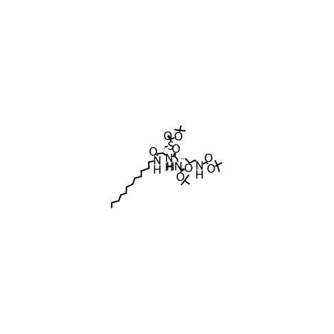 CCCCCCCCCCCCNC(=O)[C@H](CSC(=O)OC(C)(C)C)NC(=O)[C@H](CCCNC(=O)OC(C)(C)C)NC(=O)OC(C)(C)C